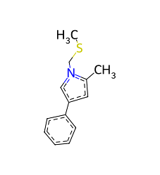 CSCn1cc(-c2ccccc2)cc1C